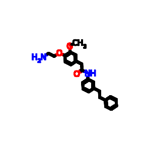 COc1cc(CC(=O)Nc2cccc(CCc3ccccc3)c2)ccc1OCCN